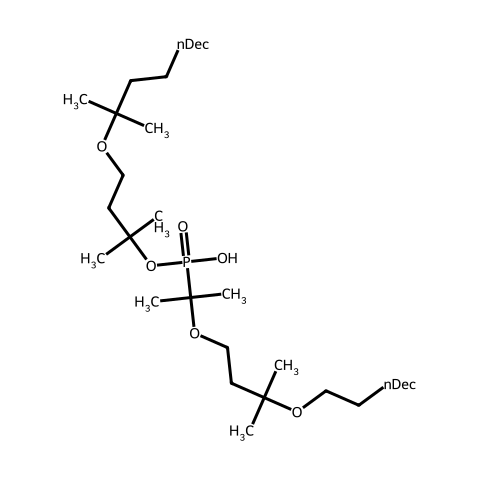 CCCCCCCCCCCCOC(C)(C)CCOC(C)(C)P(=O)(O)OC(C)(C)CCOC(C)(C)CCCCCCCCCCCC